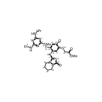 CCNc1nc(NC(C)C)nc(SC)n1.COC(=O)CSc1cc(/N=c2\sc(=O)n3n2CCCC3)c(F)cc1Cl